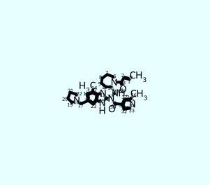 C/C=C/C(=O)N1CCCC[C@@H](N2c3c(C)cc(CN4CCCC4)cc3NC2N(N)C(=O)c2ccnc(C)c2)C1